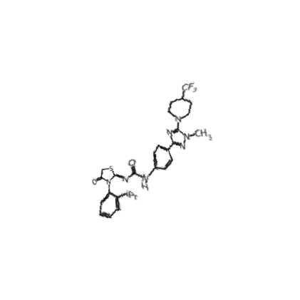 CC(C)c1ccccc1N1C(=O)CSC1=NC(=O)Nc1ccc(-c2nc(N3CCC(C(F)(F)F)CC3)n(C)n2)cc1